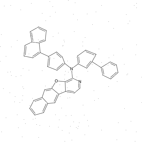 c1ccc(-c2cccc(N(c3ccc(-c4cccc5ccccc45)cc3)c3nccc4c3oc3cc5ccccc5cc34)c2)cc1